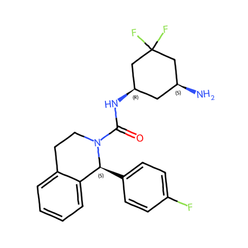 N[C@H]1C[C@@H](NC(=O)N2CCc3ccccc3[C@@H]2c2ccc(F)cc2)CC(F)(F)C1